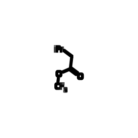 CC(C)CC(=O)OC(F)(F)F